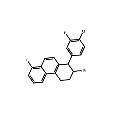 CCCC1CCc2c(ccc3c(F)cccc23)C1c1ccc(Cl)c(F)c1